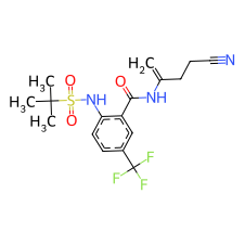 C=C(CCC#N)NC(=O)c1cc(C(F)(F)F)ccc1NS(=O)(=O)C(C)(C)C